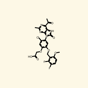 COc1ccc(F)c(F)c1COc1cc(-n2c(=O)[nH]c3c(C(C)=O)nc(C)nc32)c(Cl)cc1OCC(=O)O